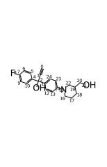 C#CC(O)(c1ccc(F)cc1)c1ccc(N2CCCC(CO)C2)cc1